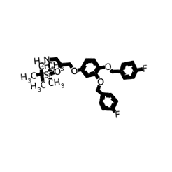 CC(C)(C)[Si](C)(C)OC(CN)COc1ccc(OCc2ccc(F)cc2)c(OCc2ccc(F)cc2)c1